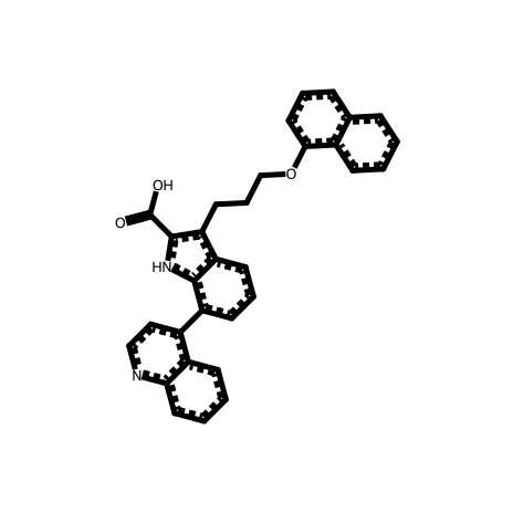 O=C(O)c1[nH]c2c(-c3ccnc4ccccc34)cccc2c1CCCOc1cccc2ccccc12